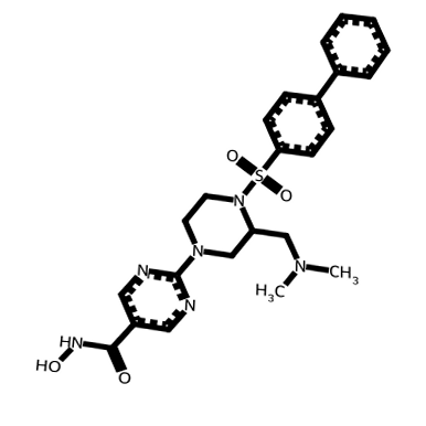 CN(C)CC1CN(c2ncc(C(=O)NO)cn2)CCN1S(=O)(=O)c1ccc(-c2ccccc2)cc1